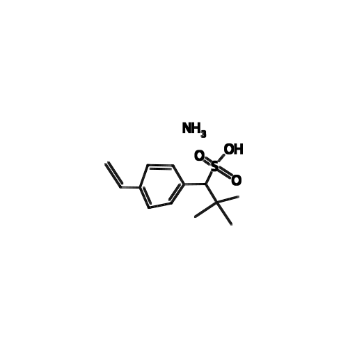 C=Cc1ccc(C(C(C)(C)C)S(=O)(=O)O)cc1.N